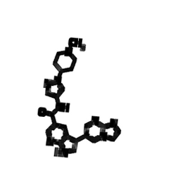 CN1CCC(n2cc(NC(=O)c3cnc4[nH]cc(-c5cnc6nccn6c5)c4c3)cn2)CC1